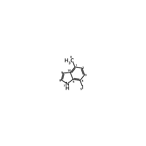 Cc1ccc(I)c2[nH]ccc12